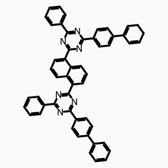 C1=CC(c2ccc(-c3nc(-c4ccccc4)nc(-c4cccc5c(-c6nc(-c7ccccc7)nc(-c7ccc(-c8ccccc8)cc7)n6)cccc45)n3)cc2)=CCC1